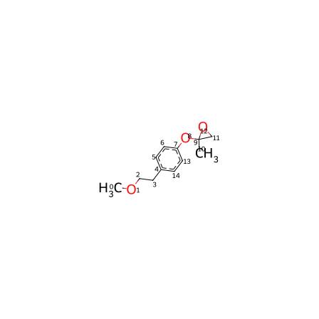 COCCc1ccc(OC2(C)CO2)cc1